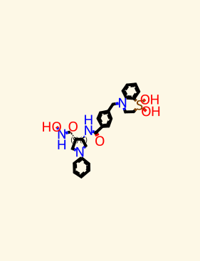 O=C(N[C@@H]1CN(c2ccccc2)C[C@@H]1C(=O)NO)c1ccc(CN2CCS(O)(O)c3ccccc32)cc1